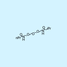 CCCC(=O)NCCOCCOCCOCCNC(=O)CC(C)C